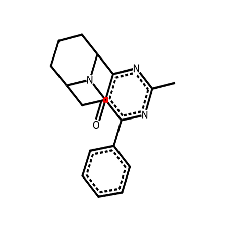 Cc1nc(-c2ccccc2)c2c(n1)C1CCCC(C2)N1C=O